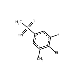 CCc1c(C)cc(S(C)(=N)=O)cc1F